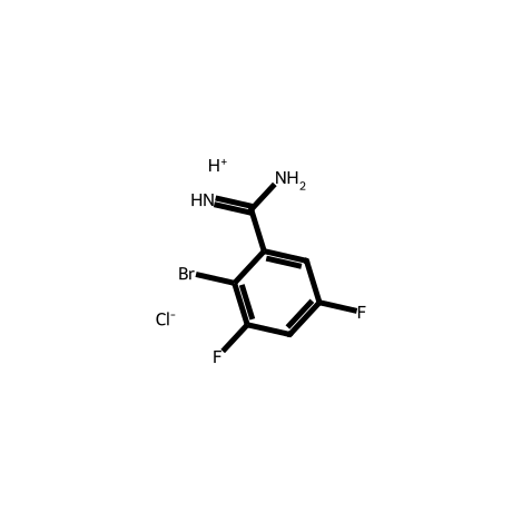 N=C(N)c1cc(F)cc(F)c1Br.[Cl-].[H+]